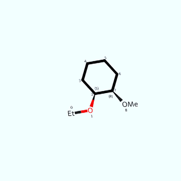 CCO[C@H]1CCCC[C@H]1OC